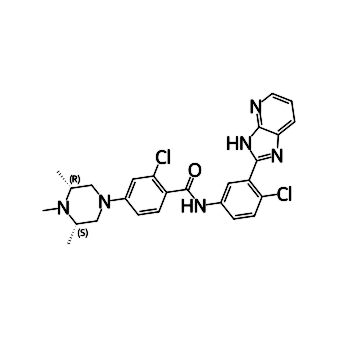 C[C@@H]1CN(c2ccc(C(=O)Nc3ccc(Cl)c(-c4nc5cccnc5[nH]4)c3)c(Cl)c2)C[C@H](C)N1C